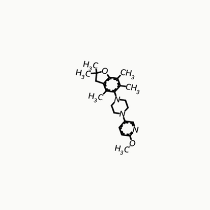 COc1ccc(N2CCN(c3c(C)c(C)c4c(c3C)CC(C)(C)O4)CC2)cn1